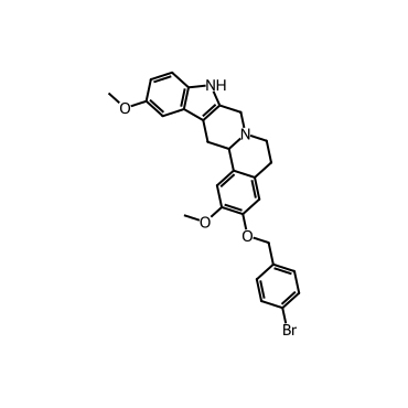 COc1ccc2[nH]c3c(c2c1)CC1c2cc(OC)c(OCc4ccc(Br)cc4)cc2CCN1C3